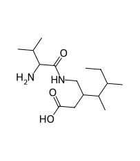 CCC(C)C(C)C(CNC(=O)C(N)C(C)C)CC(=O)O